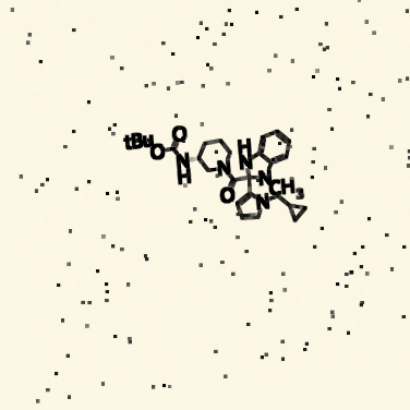 CN1c2ccccc2NC1(C(=O)N1CCC[C@@H](NC(=O)OC(C)(C)C)C1)c1cccn1CC1CC1